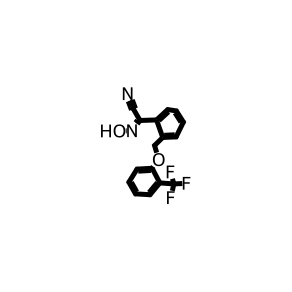 N#CC(=NO)c1ccccc1COc1ccccc1C(F)(F)F